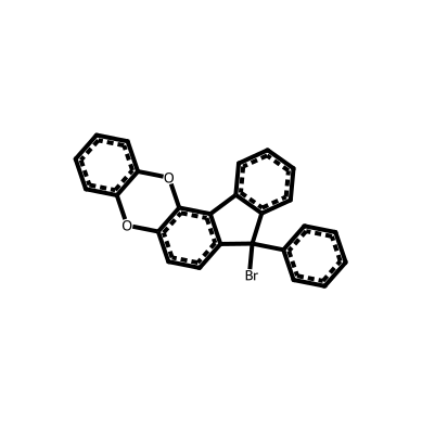 BrC1(c2ccccc2)c2ccccc2-c2c1ccc1c2Oc2ccccc2O1